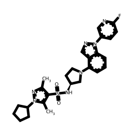 Cc1nn(C2CCCC2)c(C)c1S(=O)(=O)N[C@H]1CCN(c2cccc3c2cnn3-c2ccc(F)nc2)C1